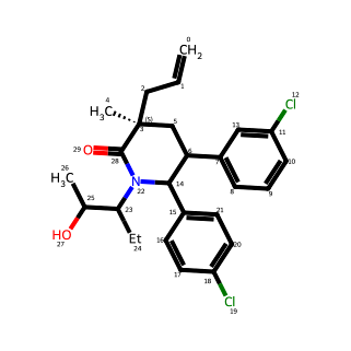 C=CC[C@@]1(C)CC(c2cccc(Cl)c2)C(c2ccc(Cl)cc2)N(C(CC)C(C)O)C1=O